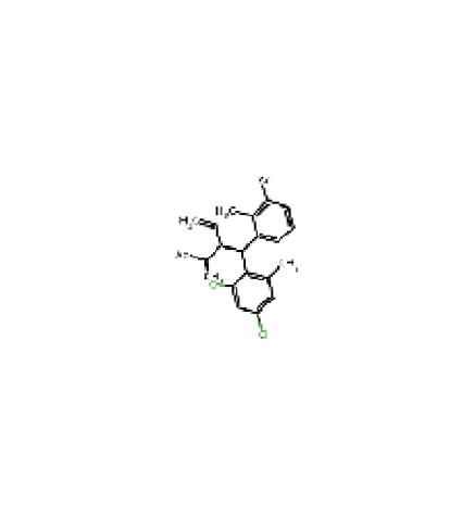 C=CC(C(C)C(C)=O)C(c1cccc(C(C)=O)c1C)c1c(C)cc(Cl)cc1Cl